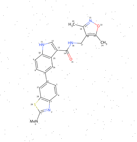 CNc1nc2ccc(-c3ccc4[nH]cc(C(=O)NCc5c(C)noc5C)c4c3)cc2s1